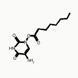 CCCCCCCC(=O)On1cc(N)c(=O)[nH]c1=O